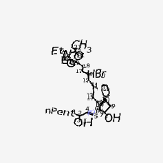 Br.CCCCCC(O)/C=C/[C@H]1C(O)CC(=O)[C@@H]1CCCCCCC(=O)OC(C)N(CC)CC